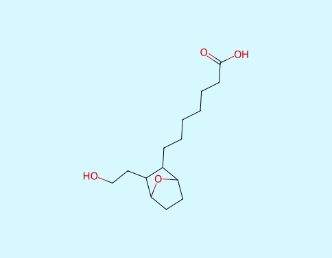 O=C(O)CCCCCCC1C2CCC(O2)C1CCO